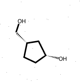 OC[C@H]1CC[C@@H](O)C1